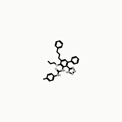 CCCOc1c(CCCc2ccccc2)cc(-c2ccccc2)c(-c2nnn[nH]2)c1NC(=O)Nc1ccc(C)cc1